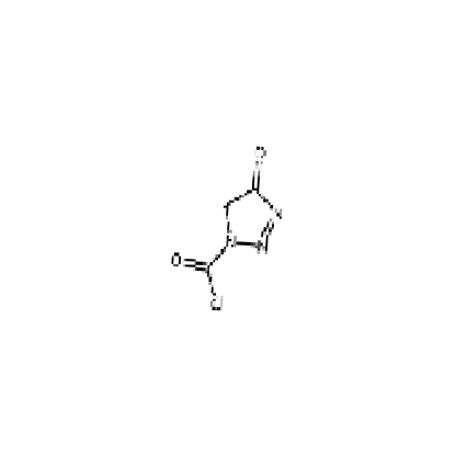 O=C1CN(C(=O)Cl)N=N1